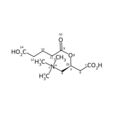 C[N+](C)(C)C[C@H](CC(=O)O)OC(=O)CCCC(=O)O